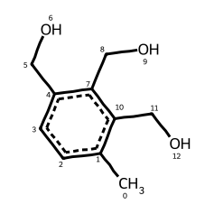 Cc1ccc(CO)c(CO)c1CO